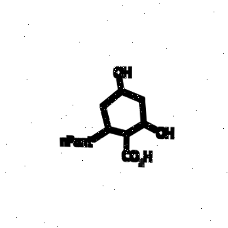 CCCCCC1CC(O)CC(O)C1C(=O)O